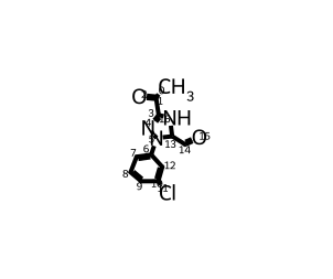 CC(=O)C1=NN(c2cccc(Cl)c2)C(C=O)N1